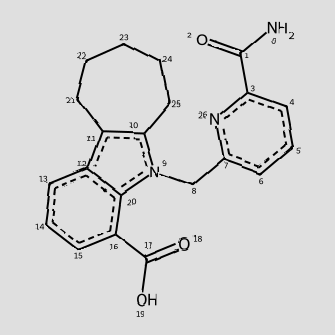 NC(=O)c1cccc(Cn2c3c(c4cccc(C(=O)O)c42)CCCCC3)n1